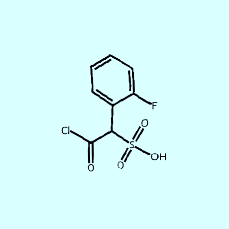 O=C(Cl)C(c1ccccc1F)S(=O)(=O)O